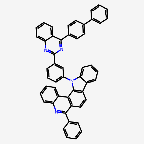 c1ccc(-c2ccc(-c3nc(-c4cccc(-n5c6ccccc6c6ccc7c(-c8ccccc8)nc8ccccc8c7c65)c4)nc4ccccc34)cc2)cc1